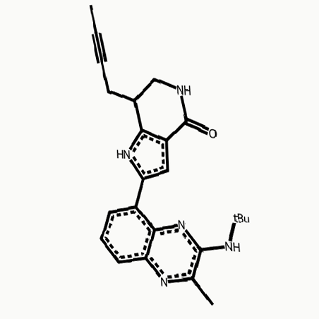 CC#CCC1CNC(=O)c2cc(-c3cccc4nc(C)c(NC(C)(C)C)nc34)[nH]c21